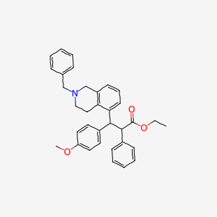 CCOC(=O)C(c1ccccc1)C(c1ccc(OC)cc1)c1cccc2c1CCN(Cc1ccccc1)C2